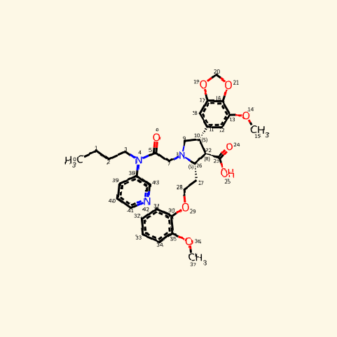 CCCCN(C(=O)CN1C[C@H](c2cc(OC)c3c(c2)OCO3)[C@@H](C(=O)O)[C@@H]1CCOc1ccccc1OC)c1cccnc1